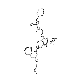 CCCCOc1cc(N2CCc3c(nc([S+](C)[O-])nc3N3CCN(C(=O)OCc4ccccc4)CC3)C2)c2ccccc2c1